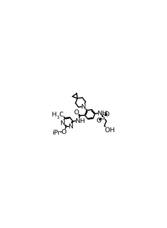 Cc1cc(NC(=O)c2ccc(NS(=O)(=O)CCO)cc2N2CCC3(CC2)CC3)nc(OC(C)C)n1